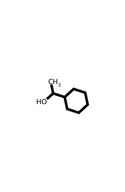 C[C](O)C1CCCCC1